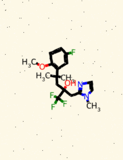 COc1ccc(F)cc1C(C)(C)CC(O)(Cc1nccn1C)C(F)(F)F